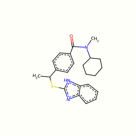 CC(Sc1nc2ccccc2[nH]1)c1ccc(C(=O)N(C)C2CCCCC2)cc1